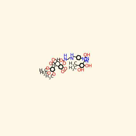 COc1cc([C@@H]2c3cc4c(cc3[C@H](OC(=O)NCCNCc3ccc(-n5c(O)nnc5-c5cc(C(C)C)c(O)cc5O)cc3)[C@H]3COC(=O)[C@@H]23)OCO4)cc(OC)c1OC